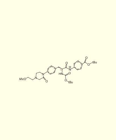 COCCN1CCN(c2ccc(C[C@H](NC(=O)OC(C)(C)C)C(=O)Nc3ccc(C(=O)OC(C)(C)C)cc3)cc2)C(=O)C1